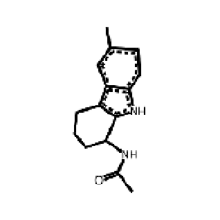 CC(=O)NC1CCCc2c1[nH]c1ccc(C)cc21